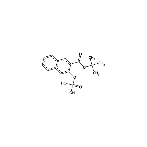 CC(C)(C)OC(=O)c1cc2ccccc2cc1OP(=O)(O)O